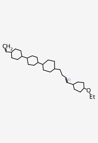 C=CC1CCC(C2CCC(C3CCC(CC/C=C/C4CCC(OCC)CC4)CC3)CC2)CC1